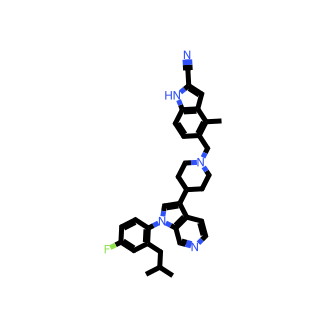 Cc1c(CN2CCC(c3cn(-c4ccc(F)cc4CC(C)C)c4cnccc34)CC2)ccc2[nH]c(C#N)cc12